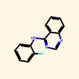 Fc1ccccc1Nc1ncnc2ccccc12